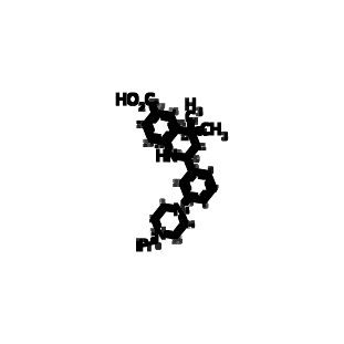 CC(C)N1CCN(c2cccc(C3CC(C)(C)c4cc(C(=O)O)ccc4N3)c2)CC1